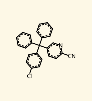 N#Cc1ccc(C(c2ccccc2)(c2ccccc2)c2ccc(Cl)cc2)cn1